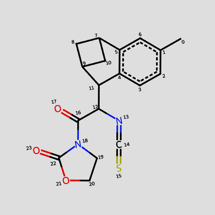 Cc1ccc2c(c1)C1CC(C1)C2C(N=C=S)C(=O)N1CCOC1=O